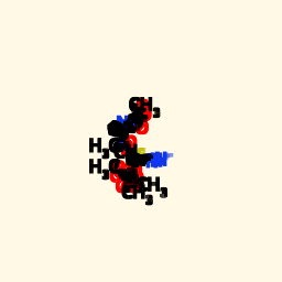 CC[C@@H]1C(=O)OCc2c1cc1n(c2=O)Cc2c-1nc1ccccc1c2CCN(C(=O)OCc1ccc(O[C@@H]2O[C@H](C(=O)OC)C[C@H](OC(C)=O)[C@H]2OC(C)=O)c2cc(CN=[N+]=[N-])sc12)C(C)C